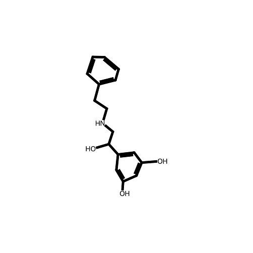 Oc1cc(O)cc(C(O)CNCCc2ccccc2)c1